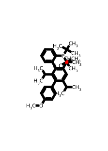 COc1ccc(-c2c(C(C)C)cc(C(C)C)c(-c3ccccc3P(C(C)(C)C)C(C)(C)C)c2C(C)C)cc1